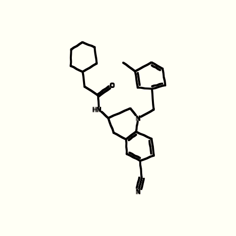 Cc1cccc(CN2CC(NC(=O)CC3CCCCC3)Cc3cc(C#N)ccc32)c1